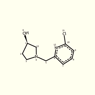 O[C@@H]1CCN(Cc2cccc(Cl)n2)C1